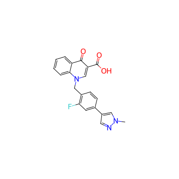 Cn1cc(-c2ccc(Cn3cc(C(=O)O)c(=O)c4ccccc43)c(F)c2)cn1